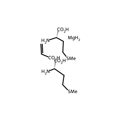 C=CC(=O)O.CSCC[C@H](N)C(=O)O.CSCC[C@H](N)C(=O)O.[MgH2]